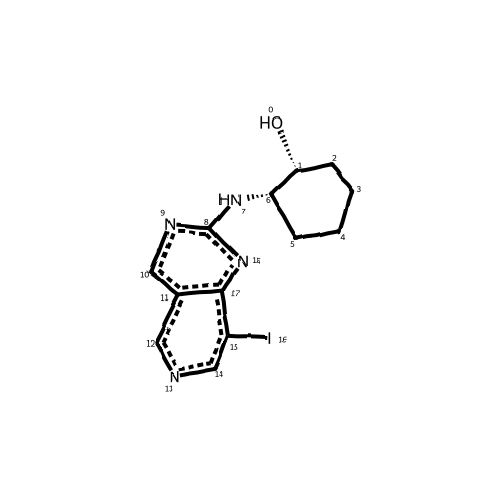 O[C@@H]1CCCC[C@@H]1Nc1ncc2cncc(I)c2n1